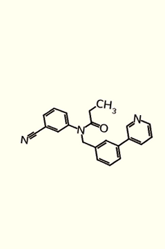 CCC(=O)N(Cc1cccc(-c2cccnc2)c1)c1cccc(C#N)c1